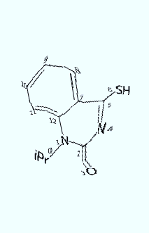 CC(C)n1c(=O)nc(S)c2ccccc21